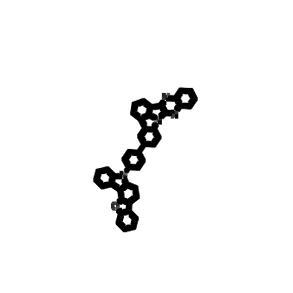 c1ccc2nc3c(nc2c1)c1cccc2c4cc(-c5ccc(-n6c7ccccc7c7c8oc9ccccc9c8ccc76)cc5)ccc4n3c21